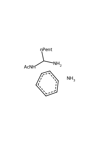 CCCCCC(N)NC(C)=O.N.c1ccccc1